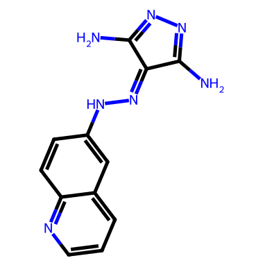 NC1=NN=C(N)C1=NNc1ccc2ncccc2c1